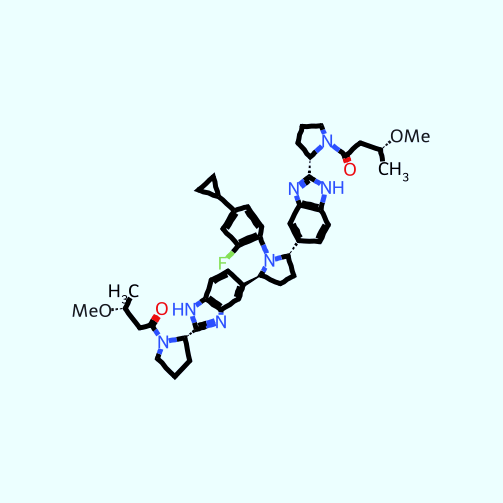 CO[C@H](C)CC(=O)N1CCC[C@H]1c1nc2cc([C@@H]3CC[C@@H](c4ccc5[nH]c([C@@H]6CCCN6C(=O)C[C@@H](C)OC)nc5c4)N3c3ccc(C4CC4)cc3F)ccc2[nH]1